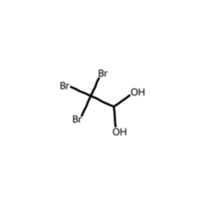 OC(O)C(Br)(Br)Br